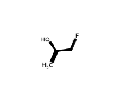 C=C(O)CF